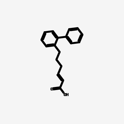 O=C(O)C=CCCCc1ccccc1-c1ccccc1